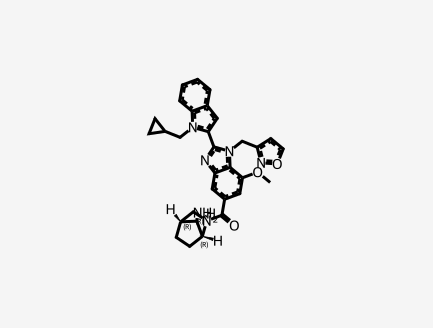 COc1cc(C(=O)N2C[C@H]3CC[C@@H]2[C@@H]3N)cc2nc(-c3cc4ccccc4n3CC3CC3)n(Cc3ccon3)c12